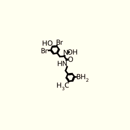 Bc1cc(C)cc(CCNC(=O)/C(Cc2cc(Br)c(O)c(Br)c2)=N\O)c1